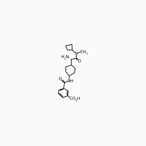 CN(C(=O)[C@@H](N)C1CCC(NC(=O)c2cccc(C(=O)O)c2)CC1)C1CCC1